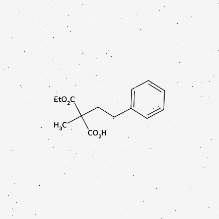 CCOC(=O)C(C)(CCc1ccccc1)C(=O)O